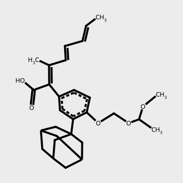 CC=CC=CC(C)=C(C(=O)O)c1ccc(OCOC(C)OC)c(C23CC4CC(CC(C4)C2)C3)c1